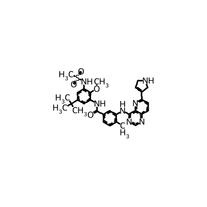 COc1c(NC(=O)c2ccc(C)c(Nc3ncnc4ccc(C5=CCNC5)nc34)c2)cc(C(C)(C)C)cc1NS(C)(=O)=O